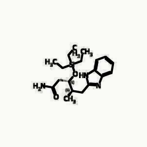 CC[Si](CC)(CC)O[C@@H](CC(N)=O)[C@H](C)Cc1nc2ccccc2[nH]1